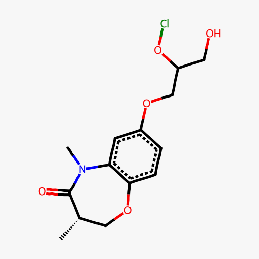 C[C@H]1COc2ccc(OCC(CO)OCl)cc2N(C)C1=O